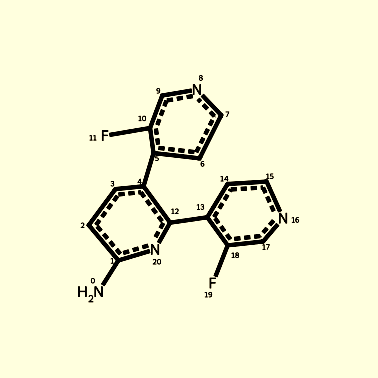 Nc1ccc(-c2ccncc2F)c(-c2ccncc2F)n1